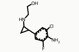 Nc1c(F)cc(C2CC2NCCO)cc1Cl